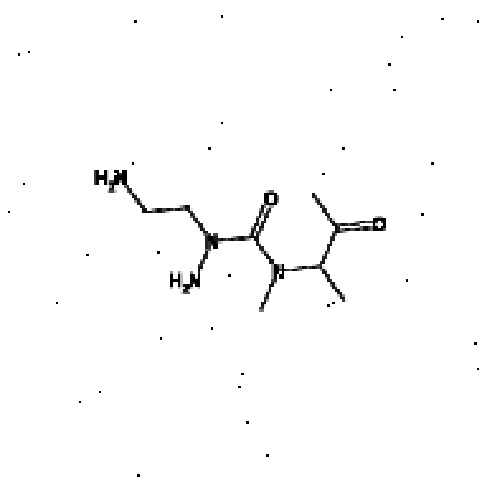 CC(=O)C(C)N(C)C(=O)N(N)CCN